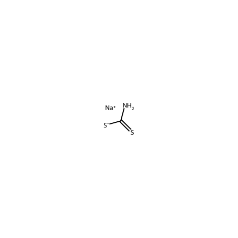 NC(=S)[S-].[Na+]